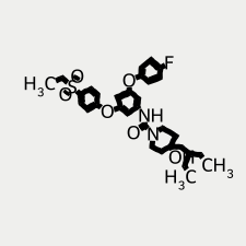 CCC(CC)CC1(O)CCN(C(=O)Nc2cc(Oc3ccc(F)cc3)cc(Oc3ccc(S(=O)(=O)CC)cc3)c2)CC1